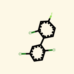 Fc1ccc(-c2cc(Cl)[c]cc2Cl)c(Cl)c1